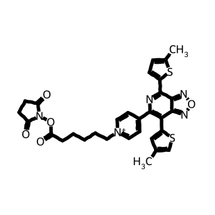 Cc1csc(-c2c(-c3cc[n+](CCCCCC(=O)ON4C(=O)CCC4=O)cc3)nc(-c3ccc(C)s3)c3nonc23)c1